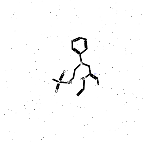 C=CN/C(=C\C)CN(CCNS(C)(=O)=O)c1ccccc1